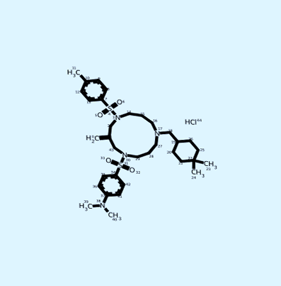 C=C1CN(S(=O)(=O)c2ccc(C)cc2)CCCN(CC2CCC(C)(C)CC2)CCCN(S(=O)(=O)c2ccc(N(C)C)cc2)C1.Cl